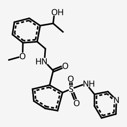 COc1cccc(C(C)O)c1CNC(=O)c1ccccc1S(=O)(=O)Nc1cccnc1